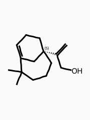 C=C(CO)[C@@]12CCC=C(C1)C(C)(C)CCC2